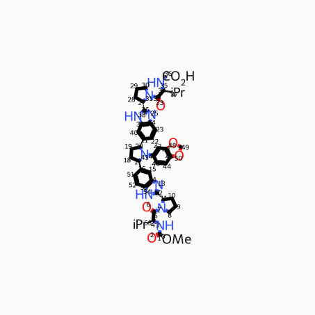 COC(=O)N[C@H](C(=O)N1CCC[C@H]1c1nc2cc([C@H]3CC[C@H](c4ccc5nc([C@@H]6CCCN6C(=O)[C@@H](NC(=O)O)C(C)C)[nH]c5c4)N3c3ccc4c(c3)OCO4)ccc2[nH]1)C(C)C